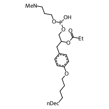 CCCCCCCCCCCCCCOc1ccc(CC(COP(O)OCCCNC)OC(=O)CC)cc1